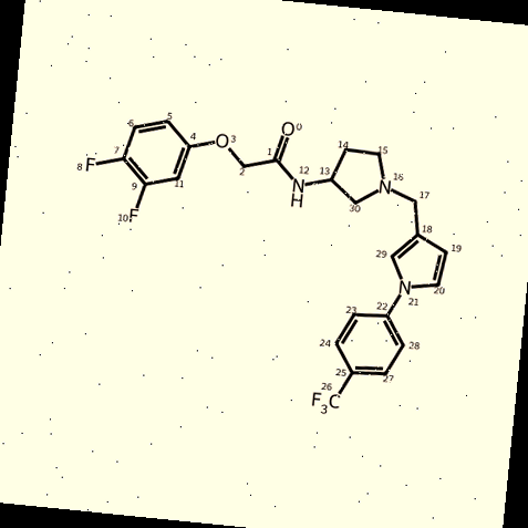 O=C(COc1ccc(F)c(F)c1)NC1CCN(Cc2ccn(-c3ccc(C(F)(F)F)cc3)c2)C1